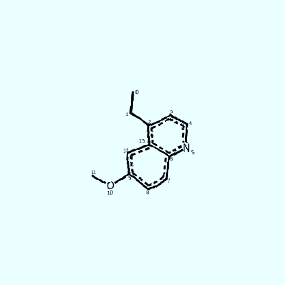 CCc1ccnc2ccc(OC)cc12